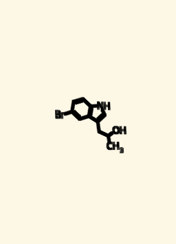 CC(O)Cc1c[nH]c2ccc(Br)cc12